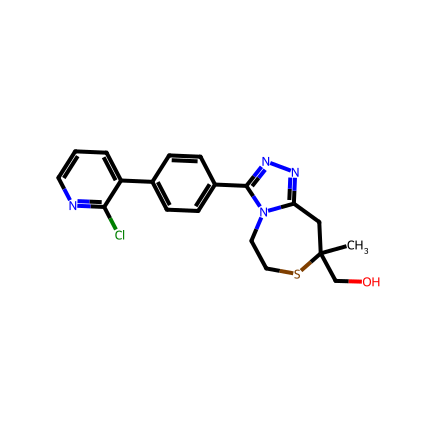 CC1(CO)Cc2nnc(-c3ccc(-c4cccnc4Cl)cc3)n2CCS1